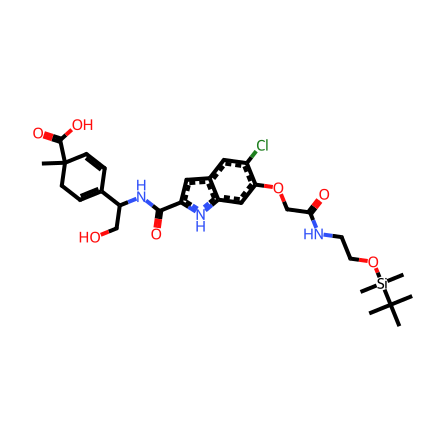 CC1(C(=O)O)C=CC(C(CO)NC(=O)c2cc3cc(Cl)c(OCC(=O)NCCO[Si](C)(C)C(C)(C)C)cc3[nH]2)=CC1